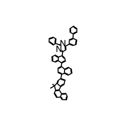 CC1(C)c2cc(-c3ccc(-c4ccc(-c5cc(-c6cccc(-c7ccccc7)c6)nc(-c6ccccc6)n5)c5ccccc45)c4ccccc34)ccc2-c2c1ccc1ccccc21